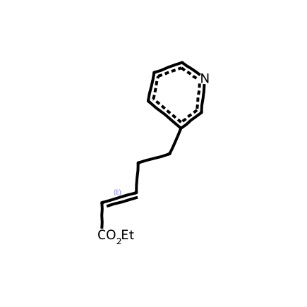 CCOC(=O)/C=C/CCc1cccnc1